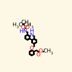 CCOC(=O)Cc1ccccc1OCc1ccc2c(c1)-c1cccc(CNC(=O)OC(C)(C)C)c1NC2